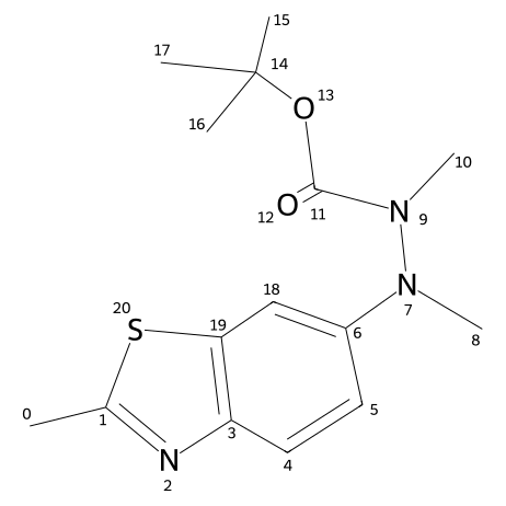 Cc1nc2ccc(N(C)N(C)C(=O)OC(C)(C)C)cc2s1